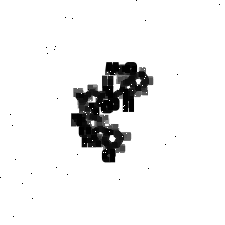 COc1cccc2[nH]c(C(=O)NC(CC3CC3)C(=O)NC(C#N)CC3C(=O)Nc4c(Cl)cccc43)cc12